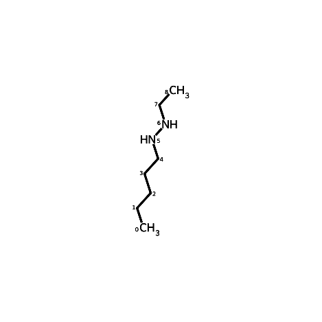 CCCCCNNCC